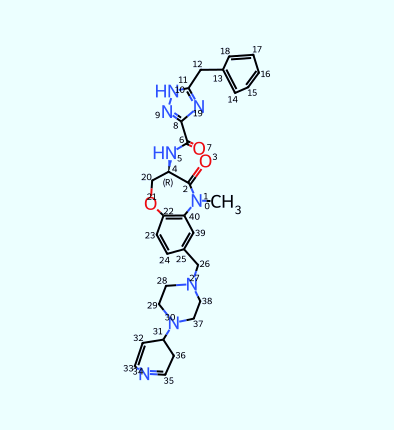 CN1C(=O)[C@H](NC(=O)c2n[nH]c(Cc3ccccc3)n2)COc2ccc(CN3CCN(C4C=CN=CC4)CC3)cc21